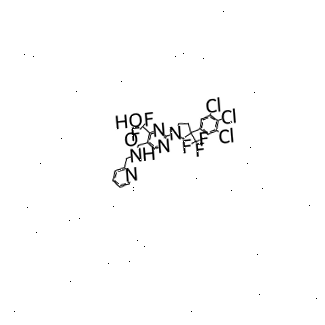 O=C(NCc1ccccn1)c1cnc(N2CCC(c3cc(Cl)c(Cl)c(Cl)c3)(C(F)(F)F)C2)nc1C(O)(F)F